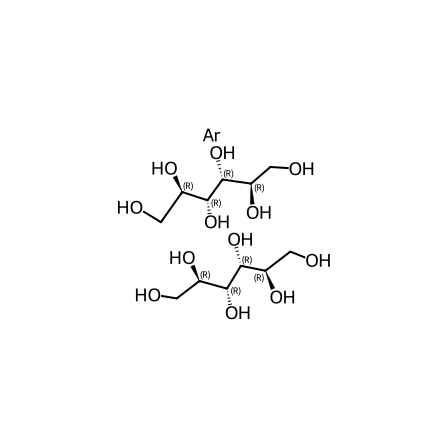 OC[C@@H](O)[C@@H](O)[C@H](O)[C@H](O)CO.OC[C@@H](O)[C@@H](O)[C@H](O)[C@H](O)CO.[Ar]